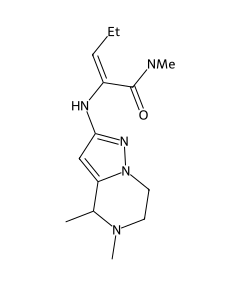 CC/C=C(/Nc1cc2n(n1)CCN(C)C2C)C(=O)NC